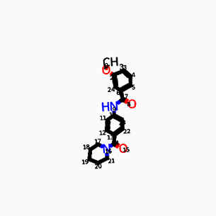 COc1cccc(C(=O)Nc2ccc(C(=O)N3CCCCC3)cc2)c1